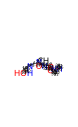 CN(CCCCCNCc1ccc(O)cc1)C(=O)CCN1CCC(OC(=O)Nc2ccccc2-c2ccccc2)CC1